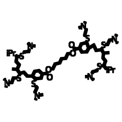 CC(C)C(CCC(C)C(CCC1CCC(C(=O)OCCCCCCOC(=O)C2CCC(CCC(SCCN(C)C)C(C)CCC(SCCN(C)C)C(C)C)C(SCCN(C)C)C2)CC1SCCN(C)C)SCCN(C)C)SCCN(C)C